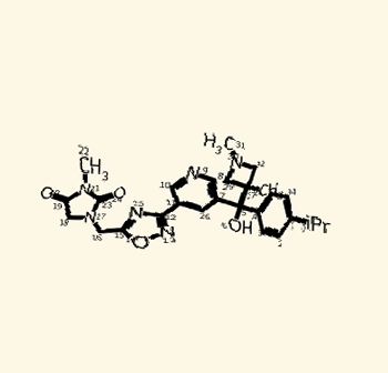 CC(C)c1ccc(C(O)(c2cncc(-c3noc(CN4CC(=O)N(C)C4=O)n3)c2)C2(C)CN(C)C2)cc1